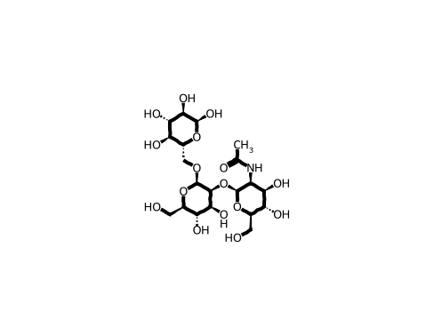 CC(=O)N[C@@H]1[C@H](O[C@@H]2[C@H](OC[C@H]3O[C@H](O)[C@H](O)[C@@H](O)[C@@H]3O)O[C@H](CO)[C@@H](O)[C@@H]2O)O[C@H](CO)[C@@H](O)[C@@H]1O